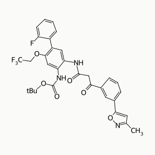 Cc1cc(-c2cccc(C(=O)CC(=O)Nc3cc(-c4ccccc4F)c(OCC(F)(F)F)cc3NC(=O)OC(C)(C)C)c2)on1